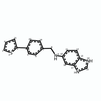 c1csc(-c2ccc(CNc3ccc4[nH]cnc4c3)cc2)c1